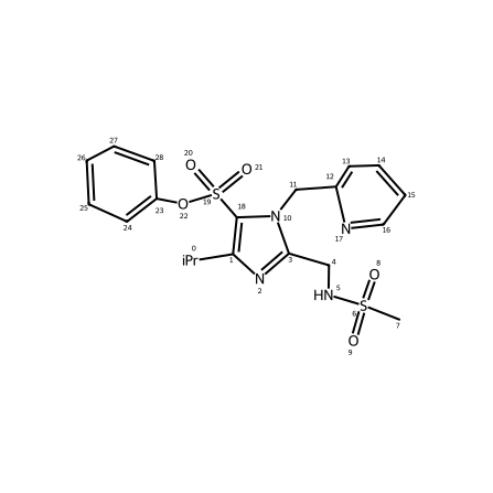 CC(C)c1nc(CNS(C)(=O)=O)n(Cc2ccccn2)c1S(=O)(=O)Oc1ccccc1